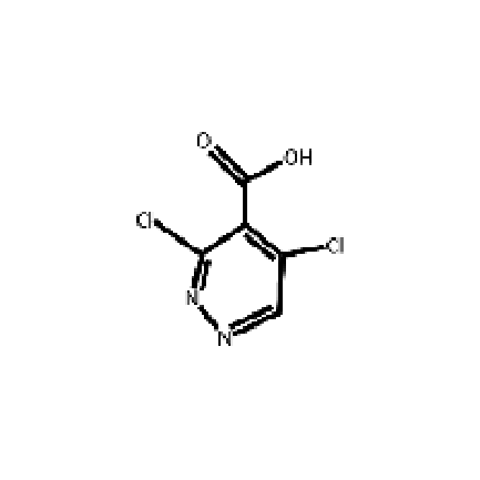 O=C(O)c1c(Cl)cnnc1Cl